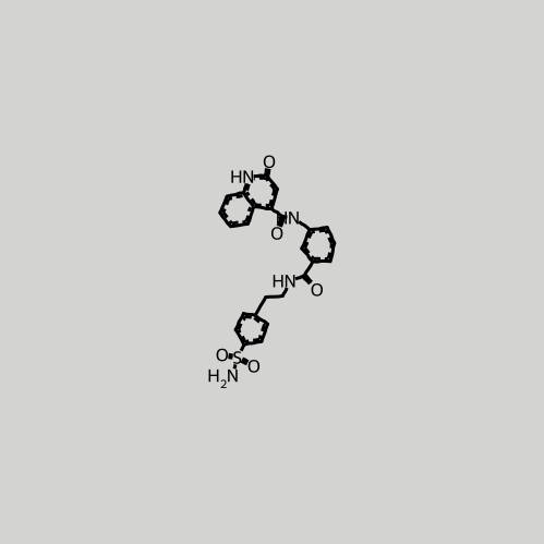 NS(=O)(=O)c1ccc(CCNC(=O)c2cccc(NC(=O)c3cc(=O)[nH]c4ccccc34)c2)cc1